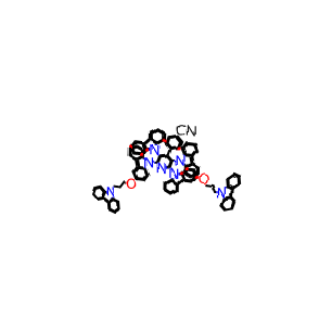 N#Cc1ccc(-c2c(-n3c4ccccc4c4ccccc43)c(-n3c4ccccc4c4cc(OCCCn5c6ccccc6c6ccccc65)ccc43)nc(-n3c4ccccc4c4cc(OCCCn5c6ccccc6c6ccccc65)ccc43)c2-n2c3ccccc3c3ccccc32)cc1